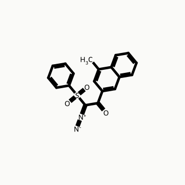 Cc1cc(C(=O)C(=[N+]=[N-])S(=O)(=O)c2ccccc2)cc2ccccc12